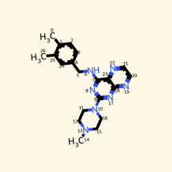 Cc1ccc(CNc2nc(N3CCN(C)CC3)nc3nccnc23)cc1C